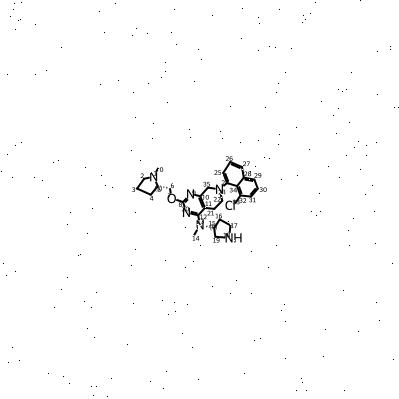 CN1CCC[C@H]1COc1nc2c(c(N(C)[C@@H]3CCNC3)n1)CCN(c1cccc3cccc(Cl)c13)C2